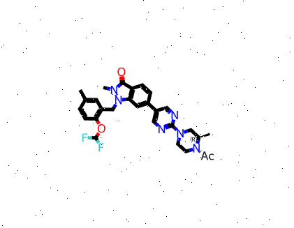 CC(=O)N1CCN(c2ncc(-c3ccc4c(=O)n(C)n(Cc5cc(C)ccc5OC(F)F)c4c3)cn2)C[C@H]1C